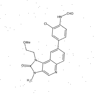 COCCn1c(=O)n(C)c2cnc3ccc(-c4ccc(NC=O)c(Cl)c4)cc3c21